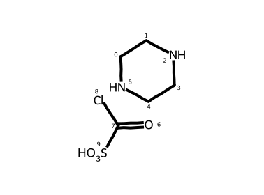 C1CNCCN1.O=C(Cl)S(=O)(=O)O